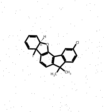 CC1(C)c2ccc(Cl)cc2-c2c1ccc1c2O[C@@H]2C=CC=CC12I